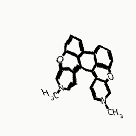 Cn1ccc2c(c1)oc1cccc3c4cccc5oc6cn(C)ccc6c(c54)c2c13